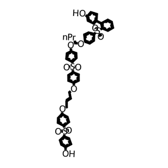 CCCC(Oc1ccc(S(=O)(=O)c2ccc(OC/C=C/COc3ccc(S(=O)(=O)c4ccc(O)cc4)cc3)cc2)cc1)Oc1ccc(S(=O)(=O)c2ccccc2-c2ccc(O)cc2)cc1